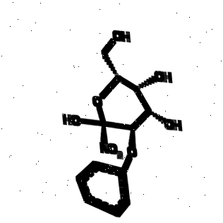 O=[N+]([O-])[C@@]1(O)O[C@H](CO)[C@H](O)[C@H](O)[C@H]1Oc1ccccc1